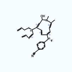 C=C/C=C\[C@@H](CCC=C)C1=C/C(O)N(C)/C(C)=C/C=C([C@H](F)c2ccc(C#N)cc2)\C=C\1